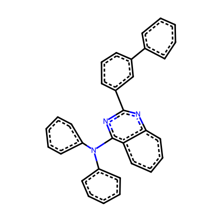 c1ccc(-c2cccc(-c3nc(N(c4ccccc4)c4ccccc4)c4ccccc4n3)c2)cc1